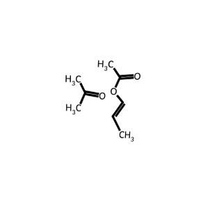 CC(C)=O.CC=COC(C)=O